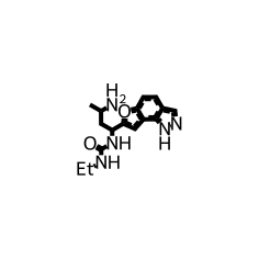 CCNC(=O)NC(CC(C)N)c1cc2c(ccc3cn[nH]c32)o1